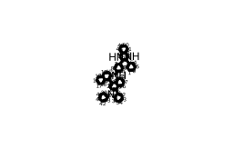 c1ccc(C2=C(c3ccc(Nc4ccc5ccccc5c4-c4cc5c(c6ccccc46)c4ccccc4n5-c4ccccc4)cc3)Nc3ccccc3N2)cc1